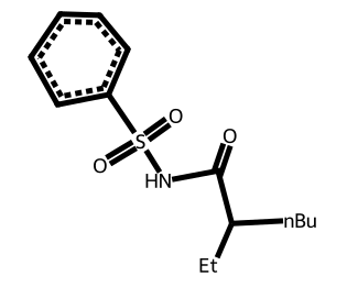 CCCCC(CC)C(=O)NS(=O)(=O)c1ccccc1